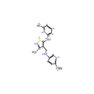 COc1ccc(NCc2c(C)nsc2Nc2cccc(C#N)n2)cn1